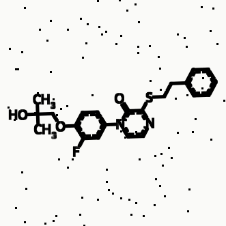 CC(C)(O)COc1ccc(-n2ccnc(SCCc3ccccc3)c2=O)cc1F